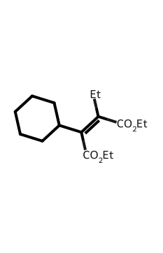 CCOC(=O)C(CC)=C(C(=O)OCC)C1CCCCC1